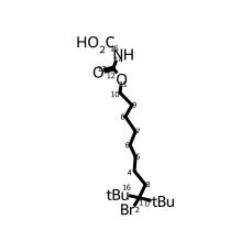 CC(C)(C)C(Br)(CCCCCCCCOC(=O)NC(=O)O)C(C)(C)C